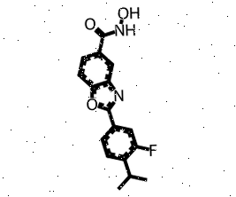 CC(C)c1ccc(-c2nc3cc(C(=O)NO)ccc3o2)cc1F